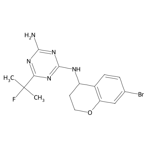 CC(C)(F)c1nc(N)nc(NC2CCOc3cc(Br)ccc32)n1